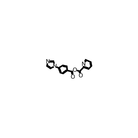 O=C(OC(=O)c1ccccn1)c1ccc(-n2ccnc2)cc1